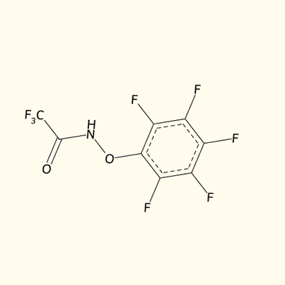 O=C(NOc1c(F)c(F)c(F)c(F)c1F)C(F)(F)F